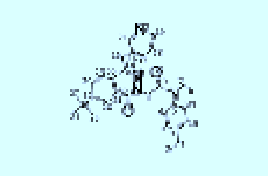 CCc1ccc(N(CC)C(=O)Cn2nc(Cc3cccnc3)c3ccc(C(C)(C)C)cc3c2=O)cc1